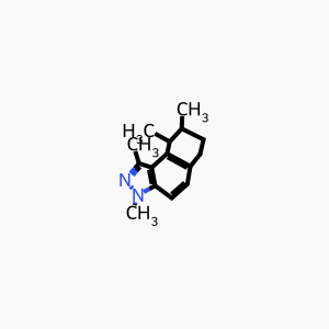 Cc1nn(C)c2ccc3c(c12)C(C)C(C)CC3